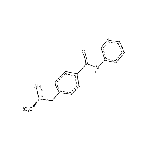 N[C@@H](Cc1ccc(C(=O)Nc2cccnc2)cc1)C(=O)O